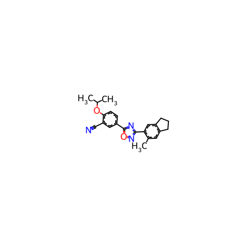 Cc1cc2c(cc1-c1noc(-c3ccc(OC(C)C)c(C#N)c3)n1)CCC2